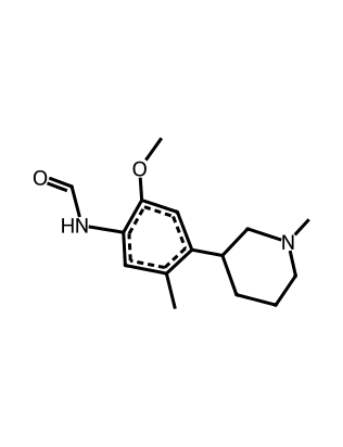 COc1cc(C2CCCN(C)C2)c(C)cc1NC=O